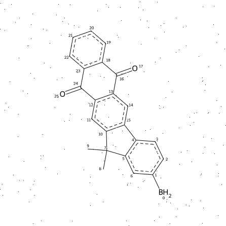 Bc1ccc2c(c1)C(C)(C)c1cc3c(cc1-2)C(=O)c1ccccc1C3=O